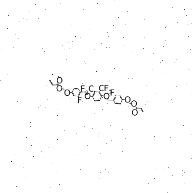 C=CC(=O)OCOc1ccc(COc2ccc(OCc3ccc(OCOC(=O)C=C)cc3F)c(C(F)(F)F)c2C(F)(F)F)c(F)c1